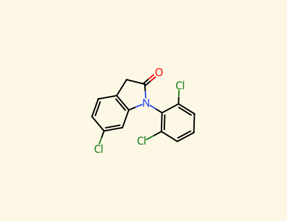 O=C1Cc2ccc(Cl)cc2N1c1c(Cl)cccc1Cl